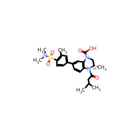 Cc1cc(-c2ccc3c(c2)N(C(=O)O)C[C@H](C)N3C(=O)CC(C)C)ccc1S(=O)(=O)N(C)C